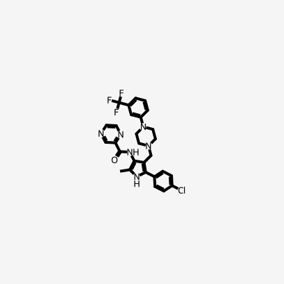 Cc1[nH]c(-c2ccc(Cl)cc2)c(CN2CCN(c3cccc(C(F)(F)F)c3)CC2)c1NC(=O)c1cnccn1